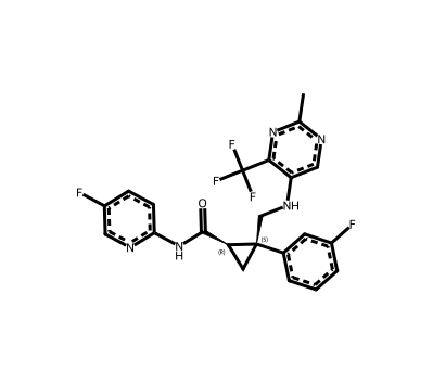 Cc1ncc(NC[C@@]2(c3cccc(F)c3)C[C@H]2C(=O)Nc2ccc(F)cn2)c(C(F)(F)F)n1